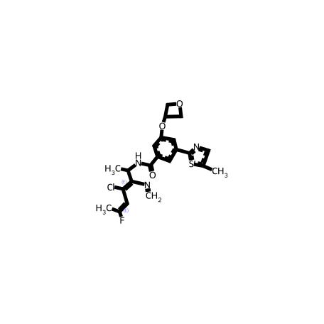 C=N/C(=C(Cl)\C=C(/C)F)C(C)NC(=O)c1cc(OC2COC2)cc(-c2ncc(C)s2)c1